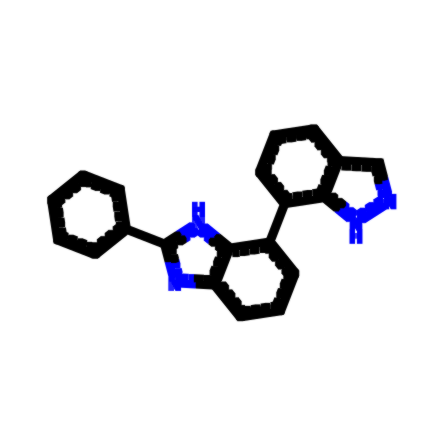 c1ccc(-c2nc3cccc(-c4cccc5cn[nH]c45)c3[nH]2)cc1